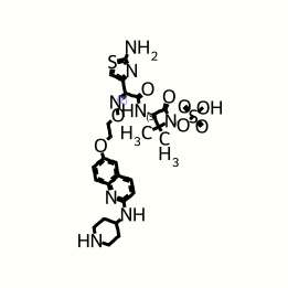 CC1(C)[C@H](NC(=O)/C(=N\OCCOc2ccc3nc(NC4CCNCC4)ccc3c2)c2csc(N)n2)C(=O)N1OS(=O)(=O)O